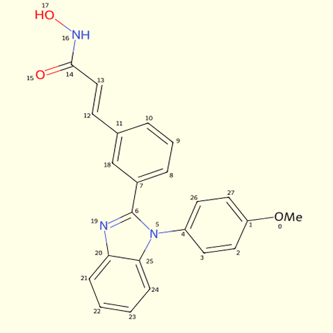 COc1ccc(-n2c(-c3cccc(/C=C/C(=O)NO)c3)nc3ccccc32)cc1